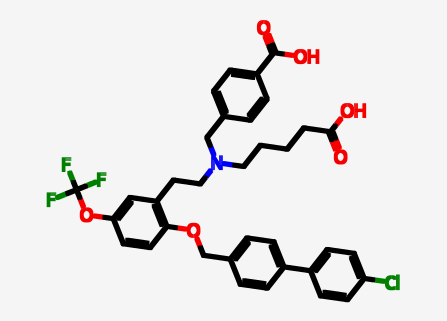 O=C(O)CCCCN(CCc1cc(OC(F)(F)F)ccc1OCc1ccc(-c2ccc(Cl)cc2)cc1)Cc1ccc(C(=O)O)cc1